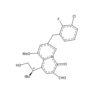 COc1cc(Cc2cccc(Cl)c2F)cn2c(=O)c(C=O)cc([C@H](CO)C(C)(C)C)c12